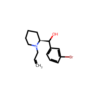 C=CCN1CCCC[C@H]1C(O)c1cccc(Br)c1